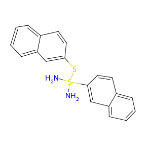 NS(N)(Sc1ccc2ccccc2c1)c1ccc2ccccc2c1